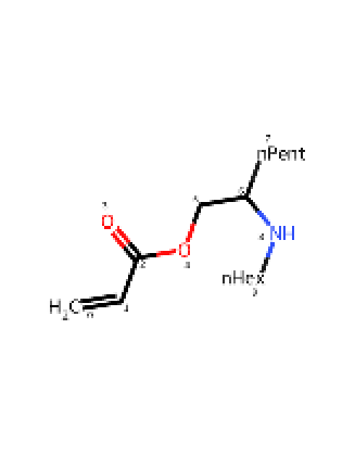 C=CC(=O)OCC(CCCCC)NCCCCCC